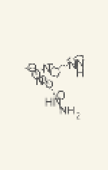 CCOC(=O)CC(c1cncc(OCCCC(=O)NCCN)c1)n1ccc2c(CCc3ccc4c(n3)NCCC4)cccc21